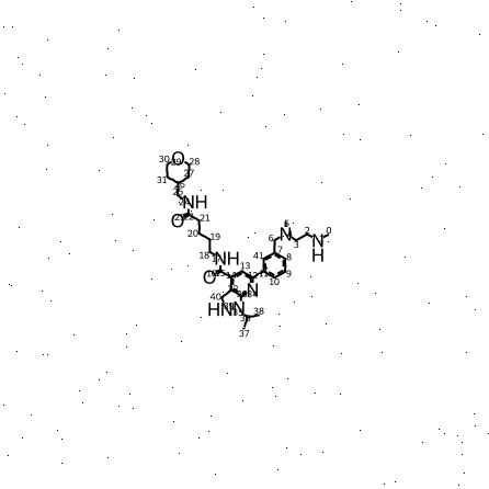 CNCCN(C)Cc1cccc(-c2cc(C(=O)NCCCCC(=O)NCC3CCOCC3)c3c(n2)N(C(C)C)NC3)c1